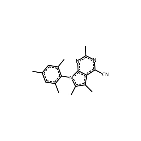 Cc1cc(C)c(-n2c(C)c(C)c3c(C#N)nc(C)nc32)c(C)c1